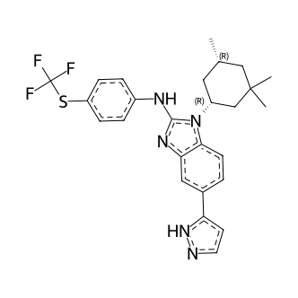 C[C@H]1C[C@@H](n2c(Nc3ccc(SC(F)(F)F)cc3)nc3cc(-c4ccn[nH]4)ccc32)CC(C)(C)C1